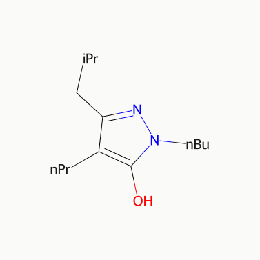 CCCCn1nc(CC(C)C)c(CCC)c1O